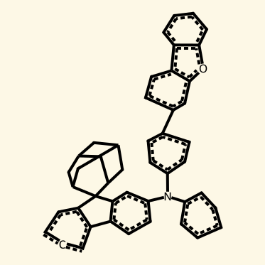 c1ccc(N(c2ccc(-c3ccc4c(c3)oc3ccccc34)cc2)c2ccc3c(c2)C2(c4ccccc4-3)C3CC4CC(C3)CC2C4)cc1